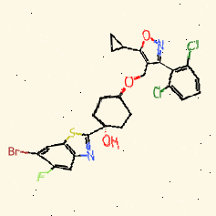 O[C@]1(c2nc3cc(F)c(Br)cc3s2)CC[C@@H](OCc2c(-c3c(Cl)cccc3Cl)noc2C2CC2)CC1